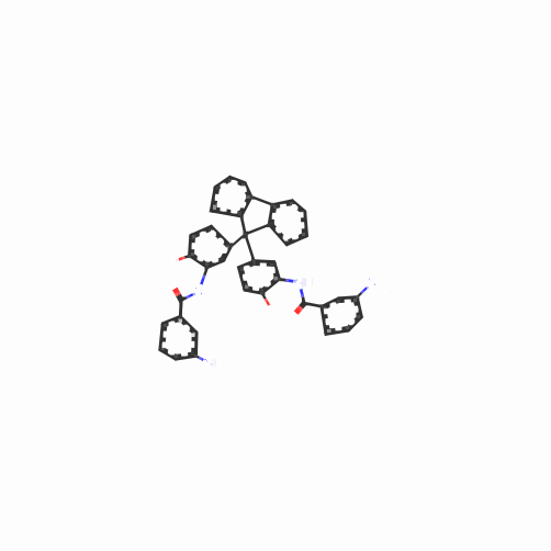 Nc1cccc(C(=O)Nc2cc(C3(c4ccc(O)c(NC(=O)c5cccc(N)c5)c4)c4ccccc4-c4ccccc43)ccc2O)c1